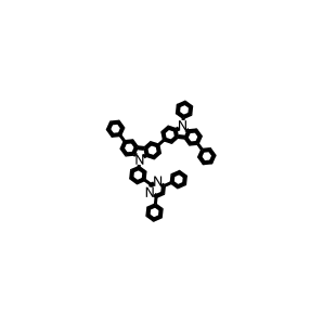 c1ccc(-c2ccc3c(c2)c2cc(-c4ccc5c(c4)c4cc(-c6ccccc6)ccc4n5-c4cccc(-c5nc(-c6ccccc6)cc(-c6ccccc6)n5)c4)ccc2n3-c2ccccc2)cc1